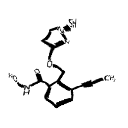 CC#Cc1cccc(C(=O)NO)c1COc1ccn(S)n1